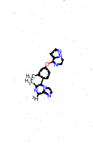 [2H]c1nc(C)c(-c2ccc(Oc3nccn4nccc34)cc2C)n2ccnc12